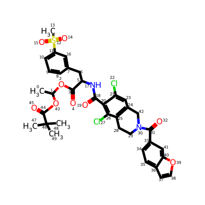 CC(OC(=O)C(Cc1cccc(S(C)(=O)=O)c1)NC(=O)c1c(Cl)cc2c(c1Cl)CCN(C(=O)c1ccc3ccoc3c1)C2)OC(=O)C(C)(C)C